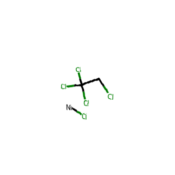 ClCC(Cl)(Cl)Cl.[Cl][Ni]